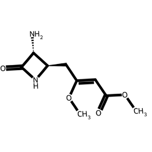 COC(=O)/C=C(/C[C@H]1NC(=O)[C@@H]1N)OC